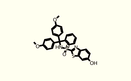 COc1ccc(C(NS(=O)(=O)c2nc3ccc(O)cc3s2)(c2ccccc2)c2ccc(OC)cc2)cc1